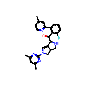 Cc1ccnc(-c2cccc(F)c2C(=O)C2NCC3CN(c4nc(C)cc(C)n4)C=C32)c1